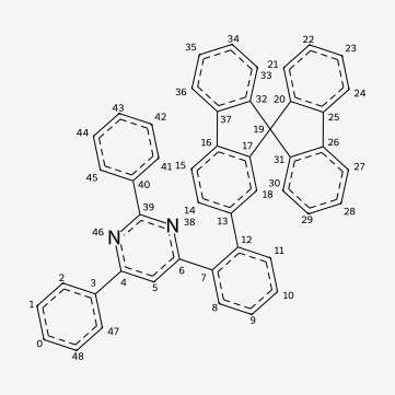 c1ccc(-c2cc(-c3ccccc3-c3ccc4c(c3)C3(c5ccccc5-c5ccccc53)c3ccccc3-4)nc(-c3ccccc3)n2)cc1